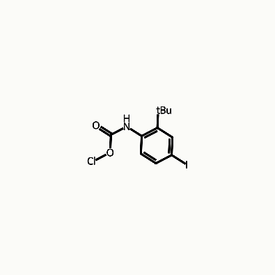 CC(C)(C)c1cc(I)ccc1NC(=O)OCl